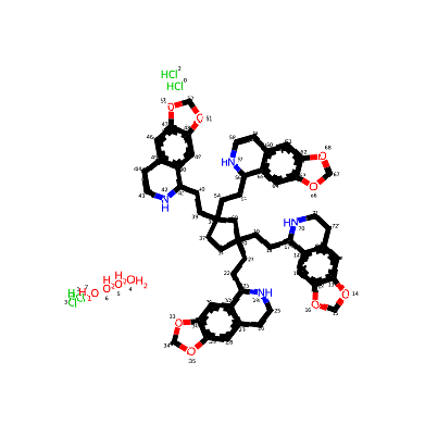 Cl.Cl.Cl.Cl.O.O.O.O.c1c2c(cc3c1OCO3)C(CCC1(CCC3NCCc4cc5c(cc43)OCO5)CCC(CCC3NCCc4cc5c(cc43)OCO5)(CCC3NCCc4cc5c(cc43)OCO5)C1)NCC2